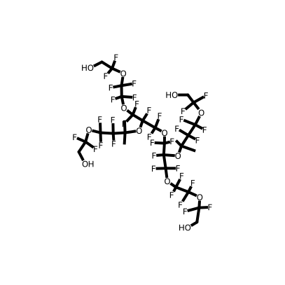 CC(C)(OC(F)(C(F)(F)OC(F)(F)C(F)(F)OC(F)(F)CO)C(F)(F)OC(F)(F)C(F)(OC(C)(C)C(F)(F)C(F)(F)OC(F)(F)CO)C(F)(F)OC(F)(F)C(F)(F)OC(F)(F)CO)C(F)(F)C(F)(F)OC(F)(F)CO